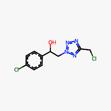 OC(Cn1nnc(CCl)n1)c1ccc(Cl)cc1